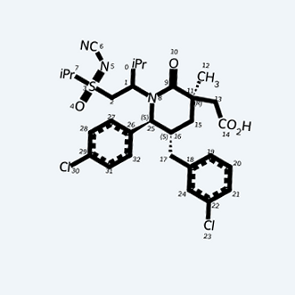 CC(C)C(CS(=O)(=NC#N)C(C)C)N1C(=O)[C@@](C)(CC(=O)O)C[C@H](Cc2cccc(Cl)c2)[C@H]1c1ccc(Cl)cc1